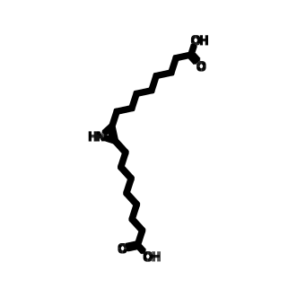 O=C(O)CCCCCCCC1=C(CCCCCCCC(=O)O)N1